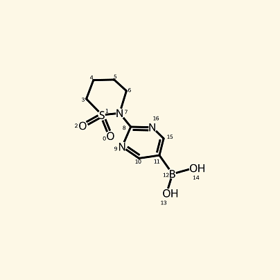 O=S1(=O)CCCCN1c1ncc(B(O)O)cn1